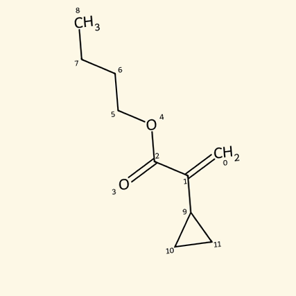 C=C(C(=O)OCCCC)C1CC1